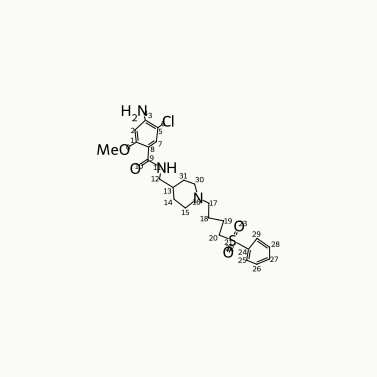 COc1cc(N)c(Cl)cc1C(=O)NCC1CCN(CCCCS(=O)(=O)c2ccccc2)CC1